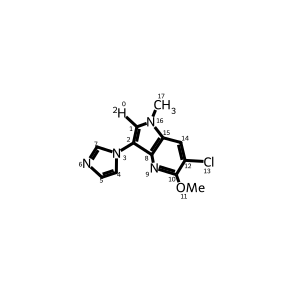 [2H]c1c(-n2ccnc2)c2nc(OC)c(Cl)cc2n1C